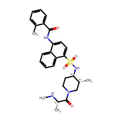 CN[C@@H](C)C(=O)N1CC[C@@H](NS(=O)(=O)c2ccc(NC(=O)c3ccccc3C)c3ccccc23)[C@H](C)C1